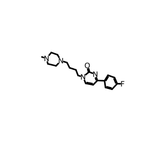 CN1CCN(CCCCn2ccc(-c3ccc(F)cc3)nc2=O)CC1